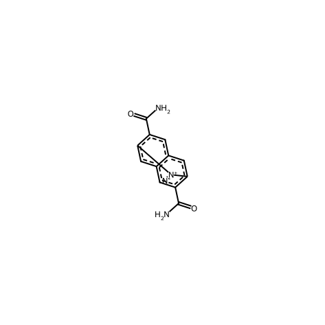 [N-]=[N+]1c2cc3cc(C(N)=O)c1cc3cc2C(N)=O